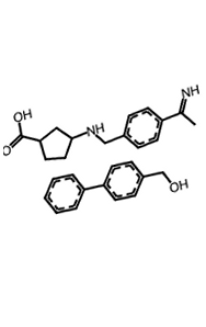 CC(=N)c1ccc(CNC2CCC(C(=O)O)C2)cc1.OCc1ccc(-c2ccccc2)cc1